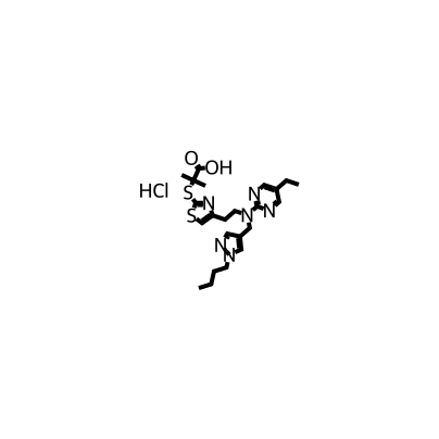 CCCCn1cc(CN(CCc2csc(SC(C)(C)C(=O)O)n2)c2ncc(CC)cn2)cn1.Cl